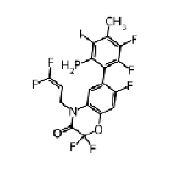 Cc1c(F)c(F)c(-c2cc3c(cc2F)OC(F)(F)C(=O)N3CC=C(F)F)c(P)c1I